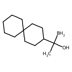 BC(C)(O)C1CCC2(CCCCC2)CC1